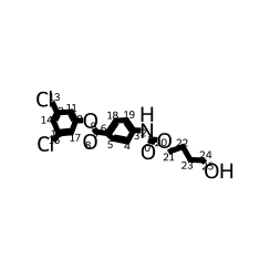 O=C(Nc1ccc(C(=O)Oc2cc(Cl)cc(Cl)c2)cc1)OCCCCO